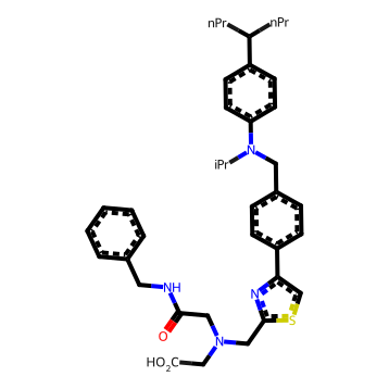 CCCC(CCC)c1ccc(N(Cc2ccc(-c3csc(CN(CC(=O)O)CC(=O)NCc4ccccc4)n3)cc2)C(C)C)cc1